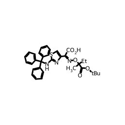 CCC(C)(ON=C(C(=O)O)c1csc(NC(c2ccccc2)(c2ccccc2)c2ccccc2)n1)C(=O)OC(C)(C)C